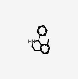 Cc1cccc2c1[C@H](c1ccccc1)NCC2